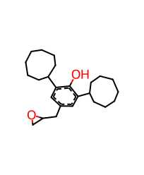 Oc1c(C2CCCCCCC2)cc(CC2CO2)cc1C1CCCCCCC1